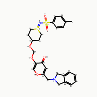 Cc1ccc(S(=O)(=O)N=S2CCC(OCOc3coc(CN4Cc5ccccc5C4)cc3=O)CC2)cc1